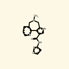 CN1Cc2cccnc2-c2c(C(=O)Nc3ccon3)c[nH]c2C1